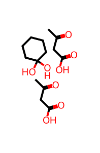 CC(=O)CC(=O)O.CC(=O)CC(=O)O.OC1(O)CCCCC1